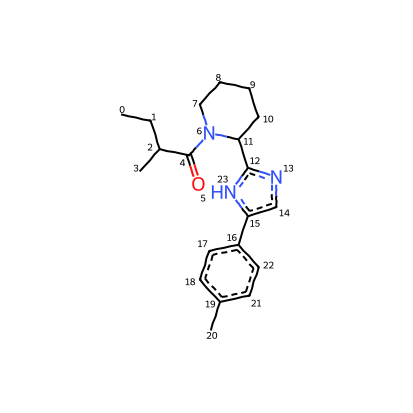 CCC(C)C(=O)N1CCCCC1c1ncc(-c2ccc(C)cc2)[nH]1